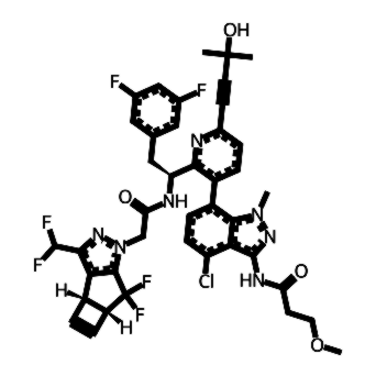 COCCC(=O)Nc1nn(C)c2c(-c3ccc(C#CC(C)(C)O)nc3[C@H](Cc3cc(F)cc(F)c3)NC(=O)Cn3nc(C(F)F)c4c3C(F)(F)[C@@H]3C#C[C@H]43)ccc(Cl)c12